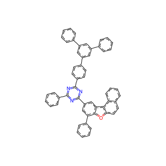 c1ccc(-c2cc(-c3ccccc3)cc(-c3ccc(-c4nc(-c5ccccc5)nc(-c5cc(-c6ccccc6)c6oc7ccc8ccccc8c7c6c5)n4)cc3)c2)cc1